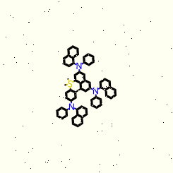 CS1(C)c2ccc(N(c3ccccc3)c3cccc4ccccc34)cc2-c2cc(N(c3ccccc3)c3cccc4ccccc34)cc3cc(N(c4ccccc4)c4cccc5ccccc45)cc1c23